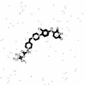 CC(C)(C)OC(=O)NN1CCC(CN2CCN(c3ccc(NC4CCC(=O)NC4=O)cc3Cl)CC2)CC1